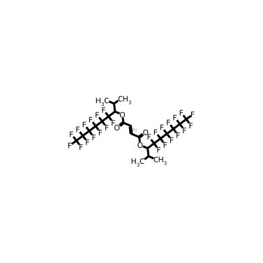 CC(C)C(OC(=O)/C=C/C(=O)OC(C(C)C)C(F)(F)C(F)(F)C(F)(F)C(F)(F)C(F)(F)C(F)(F)F)C(F)(F)C(F)(F)C(F)(F)C(F)(F)C(F)(F)C(F)(F)F